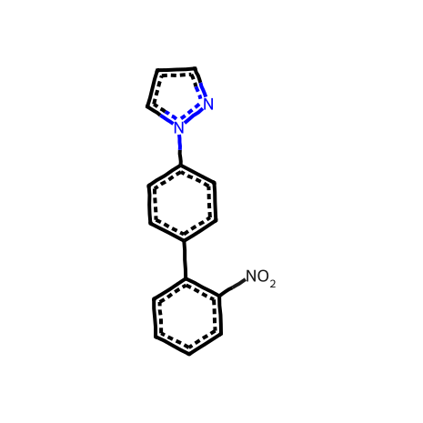 O=[N+]([O-])c1ccccc1-c1ccc(-n2cccn2)cc1